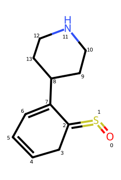 O=S=C1CC=CC=C1C1CCNCC1